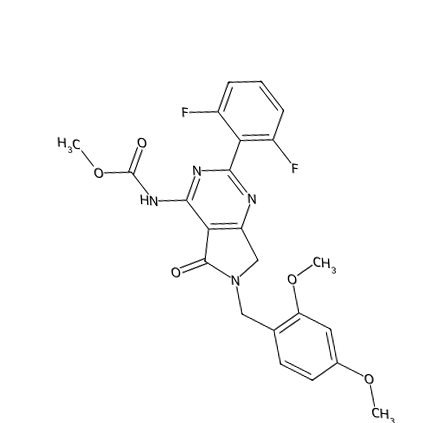 COC(=O)Nc1nc(-c2c(F)cccc2F)nc2c1C(=O)N(Cc1ccc(OC)cc1OC)C2